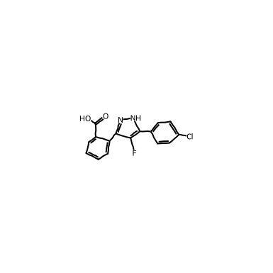 O=C(O)c1ccccc1-c1n[nH]c(-c2ccc(Cl)cc2)c1F